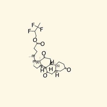 C[C@H](CCC(=O)OCC(F)C(C)(F)F)[C@H]1CC[C@H]2[C@@H]3C(=O)C[C@@H]4CC(=O)CC[C@]4(C)[C@H]3CC(=O)[C@]12C